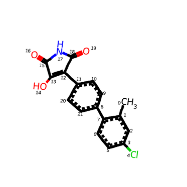 Cc1cc(Cl)ccc1-c1ccc(C2=C(O)C(=O)NC2=O)cc1